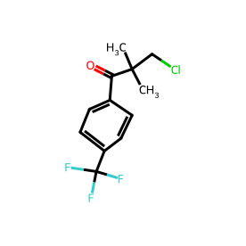 CC(C)(CCl)C(=O)c1ccc(C(F)(F)F)cc1